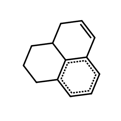 C1=Cc2cccc3c2C(C1)CCC3